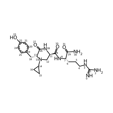 N=C(N)NCCC[C@H](NC(=O)[C@H]1CN(C2CC2)[C@H](Cc2ccc(O)cc2)C(=O)N1)C(N)=O